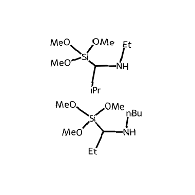 CCCCNC(CC)[Si](OC)(OC)OC.CCNC(C(C)C)[Si](OC)(OC)OC